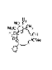 CO[C@H]1CCCC[C@@H](c2ccccc2)OC(=O)[C@@H](C)[C@@]2(O)O[C@H]([C@@H](C)[C@H](O)[C@H]2OC)[C@@H](C)/C=C/[C@H]1O